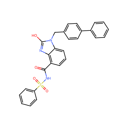 O=C(NS(=O)(=O)c1ccccc1)c1cccc2c1nc(O)n2Cc1ccc(-c2ccccc2)cc1